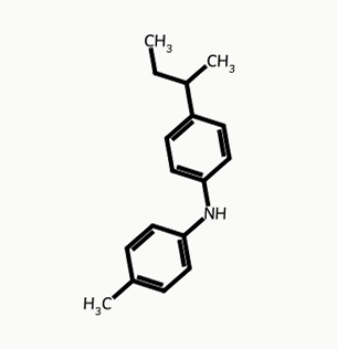 CCC(C)c1ccc(Nc2ccc(C)cc2)cc1